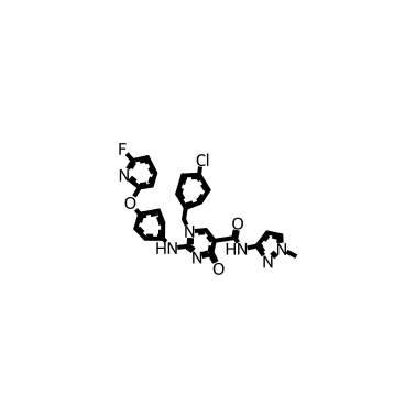 Cn1ccc(NC(=O)c2cn(Cc3ccc(Cl)cc3)c(Nc3ccc(Oc4cccc(F)n4)cc3)nc2=O)n1